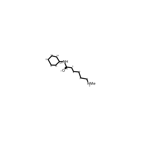 CNCCCCCC(=O)NC1CCCCC1